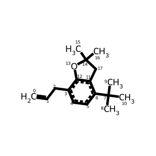 C=CCc1ccc(C(C)(C)C)c2c1OC(C)(C)C2